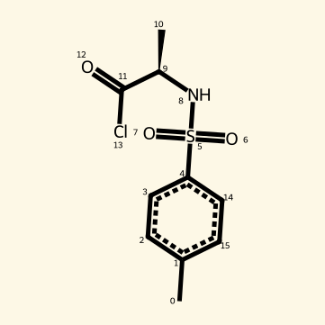 Cc1ccc(S(=O)(=O)N[C@H](C)C(=O)Cl)cc1